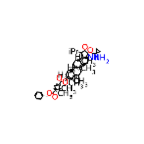 CC(C)C1=C2[C@H]3CC[C@@H]4[C@@]5(C)CC[C@H](OC(=O)[C@@H]6C[C@H](C(=O)OCc7ccccc7)C6(C)C)C(C)(C)[C@@H]5CC[C@@]4(C)[C@]3(C)CC[C@@]2(NC(=O)C2(N)CC2)CC1=O